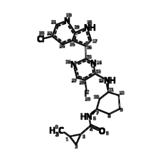 CC1CC1C(=O)N[C@@H]1CCC[C@H](Nc2nc(-c3c[nH]c4ncc(Cl)cc34)ncc2F)C1